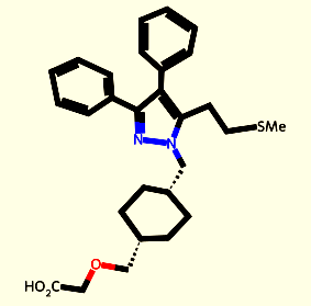 CSCCc1c(-c2ccccc2)c(-c2ccccc2)nn1C[C@H]1CC[C@@H](COCC(=O)O)CC1